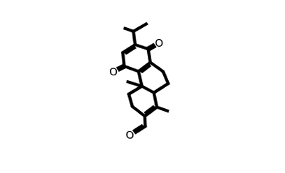 CC1=C(C=O)CCC2(C)C3=C(CCC12)C(=O)C(C(C)C)=CC3=O